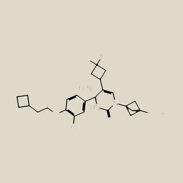 N[C@@]1(c2ccc(OCCC3CCC3)c(Cl)c2)NC(=O)N(C23CC(C(=O)O)(C2)C3)C=C1C1CC(F)(F)C1